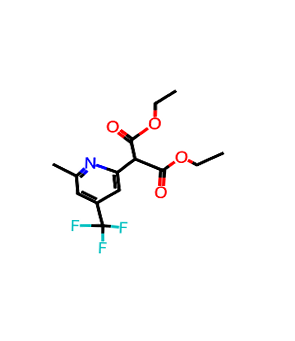 CCOC(=O)C(C(=O)OCC)c1cc(C(F)(F)F)cc(C)n1